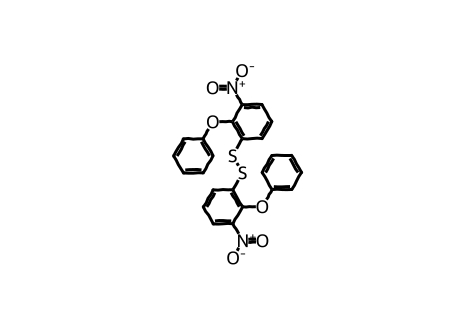 O=[N+]([O-])c1cccc(SSc2cccc([N+](=O)[O-])c2Oc2ccccc2)c1Oc1ccccc1